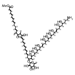 COC(=O)/C=C/C=C/C=C/C=C/CC/C=C/C(C)C(O)C(C)C(O)/C=C/C=C/C=C/C=C/C=C/CC(OC1OC(C)C(O)C(O)C1O)C(C)C(=O)CC(O)CC(O)CC(O)/C=C/CC(O)CC(O)CC(O)CC(O)/C=C/CC(O)CC(O)CCCN